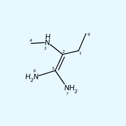 CCC(NC)=C(N)N